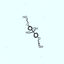 OCCCOc1ccc(C(CO)(CO)c2ccc(OCCCO)cc2)cc1